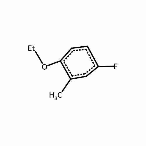 CCOc1ccc(F)cc1C